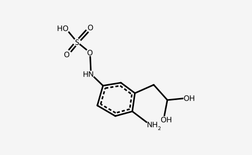 Nc1ccc(NOS(=O)(=O)O)cc1CC(O)O